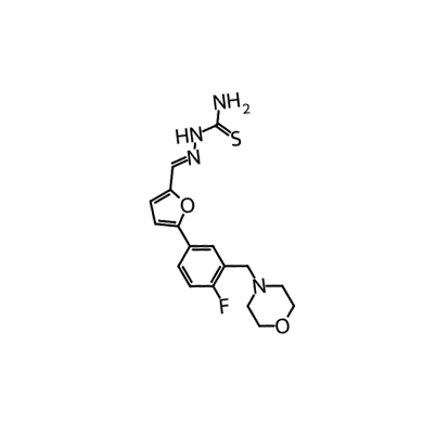 NC(=S)NN=Cc1ccc(-c2ccc(F)c(CN3CCOCC3)c2)o1